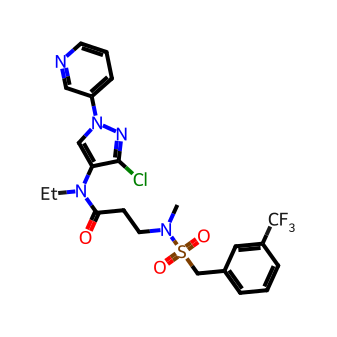 CCN(C(=O)CCN(C)S(=O)(=O)Cc1cccc(C(F)(F)F)c1)c1cn(-c2cccnc2)nc1Cl